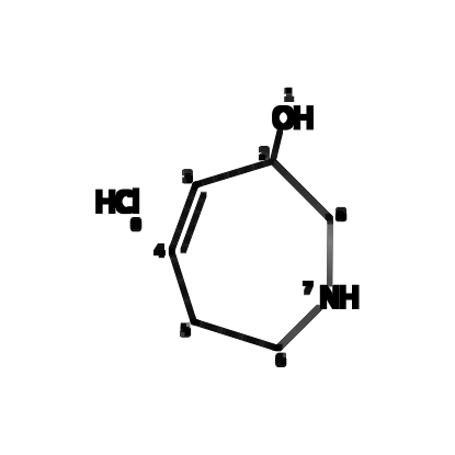 Cl.OC1C=CCCNC1